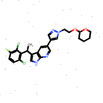 CC(c1c(Cl)ccc(F)c1Cl)c1c[nH]c2ncc(-c3cnn(CCOC4CCCCO4)c3)cc12